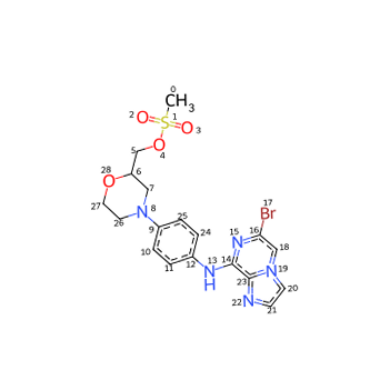 CS(=O)(=O)OCC1CN(c2ccc(Nc3nc(Br)cn4ccnc34)cc2)CCO1